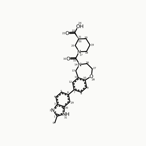 Cc1nc2ccc(-c3ccc4c(c3)CN(C(=O)N3CCC[C@H](C(=O)O)C3)CCO4)cc2[nH]1